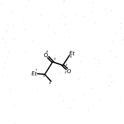 CCC(=O)C(=O)C(C)CC